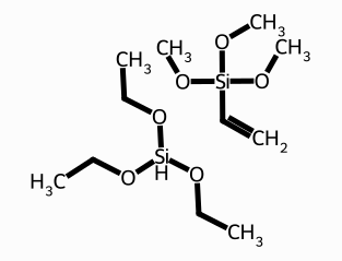 C=C[Si](OC)(OC)OC.CCO[SiH](OCC)OCC